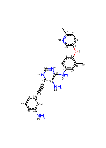 Cc1ccc(Oc2ccc(Nc3ncnc(C#Cc4cccc(N)c4)c3N)cc2C)cn1